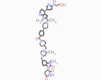 C[C@H]1CN(Cc2ccc3c(c2)n(C)c(=O)n3C2CCC(=O)NC2=O)CCN1CC1CCN(C(=O)c2ccc(C3CCN([C@@H](C)c4cc5c(-c6ccc(NCCO)nc6)ccnc5n4C)CC3)cc2)CC1